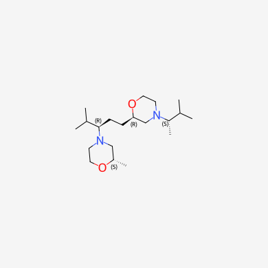 CC(C)[C@@H](CC[C@@H]1CN([C@@H](C)C(C)C)CCO1)N1CCO[C@@H](C)C1